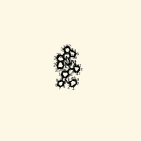 c1ccc(-n2c3ccccc3c3ccc(-c4nc(N5c6c(ccc7ccccc67)-c6cccc7cccc5c67)nc5ccccc45)cc32)cc1